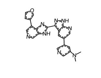 CN(C)c1cncc(-c2cnc3[nH]nc(-c4nc5c(-c6ccoc6)cncc5[nH]4)c3c2)c1